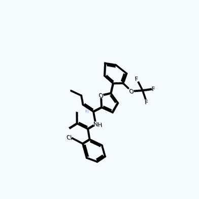 CC/C=C(/NC(=C(C)C)c1ccccc1Cl)c1ccc(-c2ccccc2OC(F)(F)F)o1